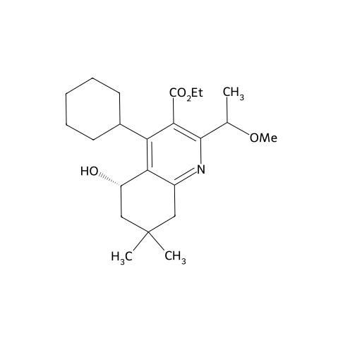 CCOC(=O)c1c(C(C)OC)nc2c(c1C1CCCCC1)[C@@H](O)CC(C)(C)C2